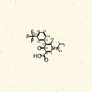 CC[C@@H](C)n1cc(C(=O)O)c(=O)c(-c2cccc(C(F)(F)F)c2)c1C